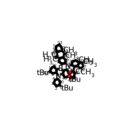 CC(C)(C)c1cccc(N2c3cc(C(C)(C)C)ccc3B3c4cc5c(cc4N(c4ccc6c(c4-c4ccccc4)C(C)(C)CC6(C)C)c4cc(C(C)(C)C)cc2c43)C(C)(C)c2ccccc2C5(C)C)c1